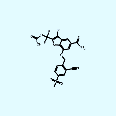 CS(=O)(=O)c1ccc(COc2cc(C(N)=O)cc3c(Br)c(C(F)(F)O[PH](=O)O)sc23)c(C#N)c1